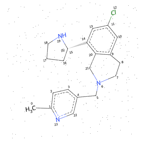 Cc1ccc(CN2CCc3cc(Cl)cc([C@@H]4CCCN4)c3C2)cn1